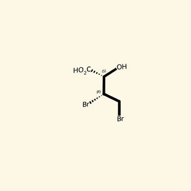 O=C(O)[C@H](O)[C@@H](Br)CBr